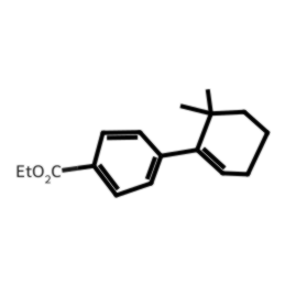 CCOC(=O)c1ccc(C2=CCCCC2(C)C)cc1